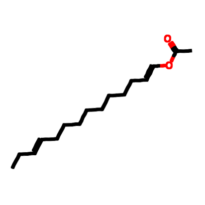 CCC=CCCCCCCCCC=COC(C)=O